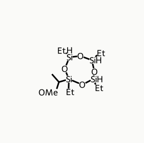 CC[SiH]1O[SiH](CC)O[Si](CC)(C(C)OC)O[SiH](CC)O1